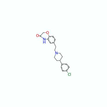 O=C1COc2ccc(CCN3CCC(c4ccc(Cl)cc4)CC3)cc2N1